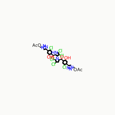 CC(=O)OCn1cc(-c2cc(O)c(C(=O)c3[nH]c(Cl)c(Cl)c3-n3c(C(=O)c4cc(Cl)c(-c5cn(COC(C)=O)nn5)cc4O)cc(Cl)c3Cl)cc2Cl)nn1